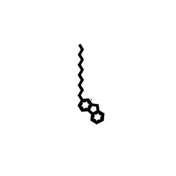 CCCCCCCCCCCc1[c]c2c(cc1)-c1ccccc1C2